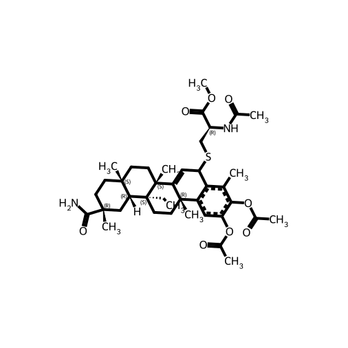 CC[C@@]12CC[C@]3(C)C(=CC(SC[C@H](NC(C)=O)C(=O)OC)c4c3cc(OC(C)=O)c(OC(C)=O)c4C)[C@@]1(C)CC[C@@]1(C)CC[C@@](C)(C(N)=O)C[C@H]12